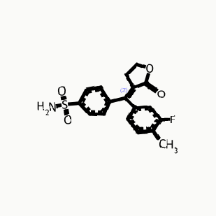 Cc1ccc(/C(=C2/CCOC2=O)c2ccc(S(N)(=O)=O)cc2)cc1F